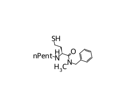 CCCCCN[C@@H](CCS)C(=O)N(C)Cc1ccccc1